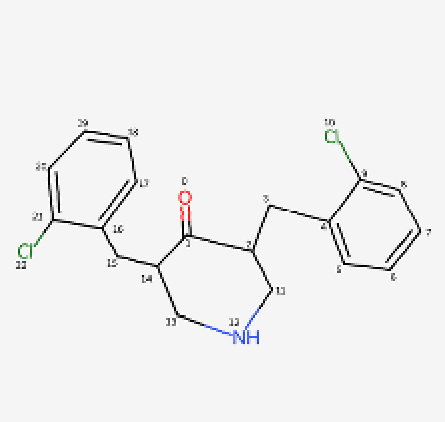 O=C1C(Cc2ccccc2Cl)CNCC1Cc1ccccc1Cl